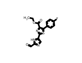 CCOC(=O)c1nc(-c2cnc(C=O)[nH]2)sc1-c1ccc(F)cc1